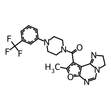 Cc1oc2c(c1C(=O)N1CCN(c3cccc(C(F)(F)F)c3)CC1)C1=NCCN1C=N2